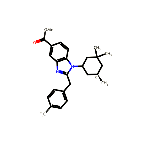 COC(=O)c1ccc2c(c1)nc(Cc1ccc(C(F)(F)F)cc1)n2C1C[C@H](C)CC(C)(C)C1